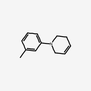 Cc1cccc(N2CC=CCC2)c1